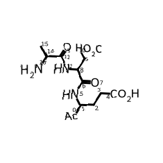 CC(=O)C(CCC(=O)O)NC(=O)C(CC(=O)O)NC(=O)C(C)N